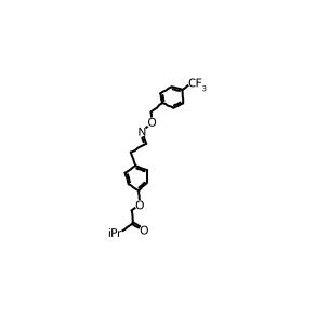 CC(C)C(=O)COc1ccc(CC=NOCc2ccc(C(F)(F)F)cc2)cc1